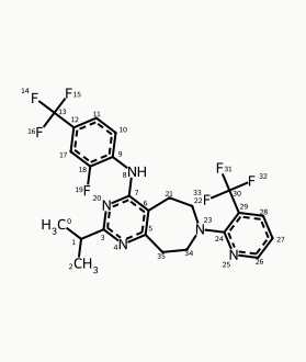 CC(C)c1nc2c(c(Nc3ccc(C(F)(F)F)cc3F)n1)CCN(c1ncccc1C(F)(F)F)CC2